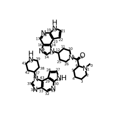 CN1CCCCC1C(=O)N1CCC(n2cnc3cnc4[nH]ccc4c32)CC1.c1cc2c(ncc3ncn(C4CCNCC4)c32)[nH]1